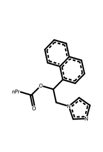 CCCC(=O)OC(Cn1ccnc1)c1cccc2ccccc12